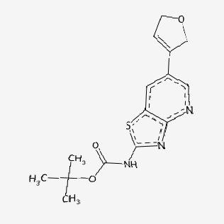 CC(C)(C)OC(=O)Nc1nc2ncc(C3=CCOC3)cc2s1